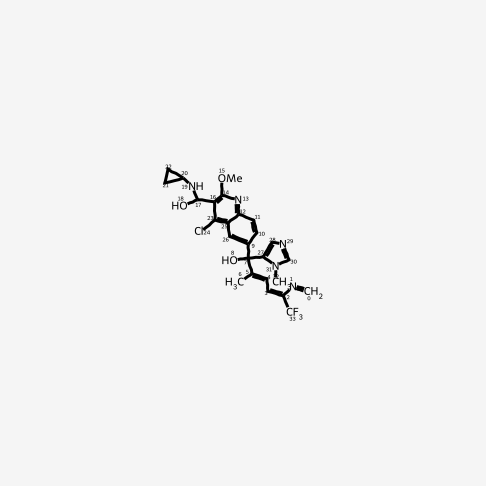 C=N/C(=C\C=C(/C)C(O)(c1ccc2nc(OC)c(C(O)NC3CC3)c(Cl)c2c1)c1cncn1C)C(F)(F)F